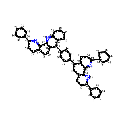 c1ccc(-c2ccc3cc(-c4ccc(-c5c6ccccc6nc6c5ccc5ccc(-c7ccccc7)nc56)cc4)c4ccc(-c5ccccc5)nc4c3n2)cc1